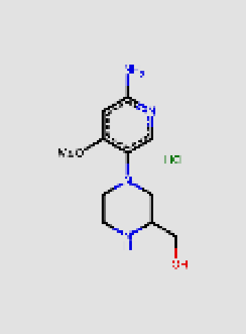 COc1cc(N)ncc1N1CCNC(CO)C1.Cl